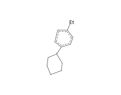 CCc1ccc([C]2CCCCC2)cc1